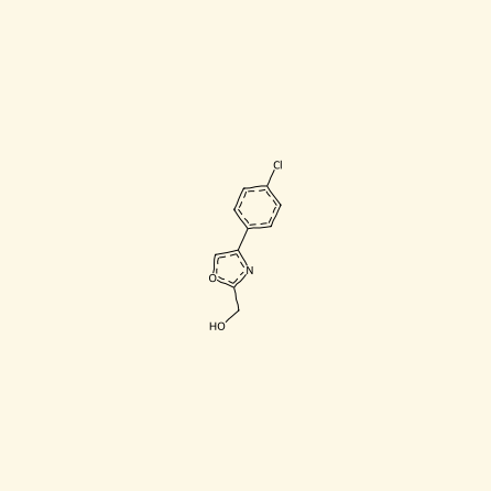 OCc1nc(-c2ccc(Cl)cc2)co1